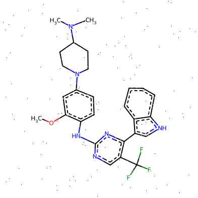 COc1cc(N2CCC(N(C)C)CC2)ccc1Nc1ncc(C(F)(F)F)c(-c2c[nH]c3ccccc23)n1